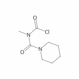 CN(C(=O)Cl)C(=O)N1CCCCC1